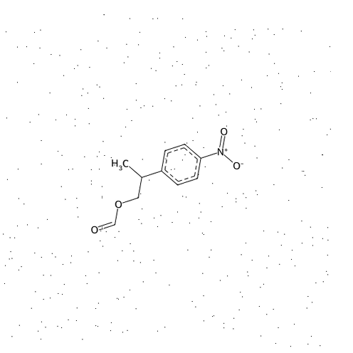 CC(COC=O)c1ccc([N+](=O)[O-])cc1